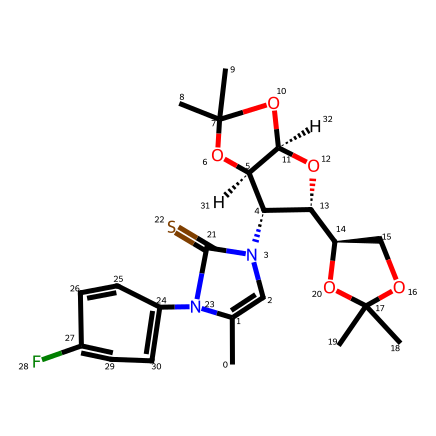 Cc1cn([C@@H]2[C@H]3OC(C)(C)O[C@H]3O[C@@H]2[C@H]2COC(C)(C)O2)c(=S)n1-c1ccc(F)cc1